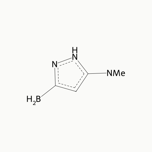 Bc1cc(NC)[nH]n1